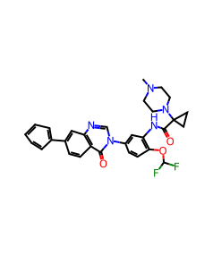 CN1CCN(C2(C(=O)Nc3cc(-n4cnc5cc(-c6ccccc6)ccc5c4=O)ccc3OC(F)F)CC2)CC1